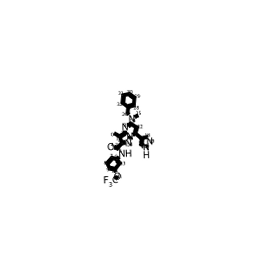 Cc1c(C(=O)Nc2cccc(OC(F)(F)F)c2)nn2c(-c3cn[nH]c3)cc(N(C)Cc3ccccc3)nc12